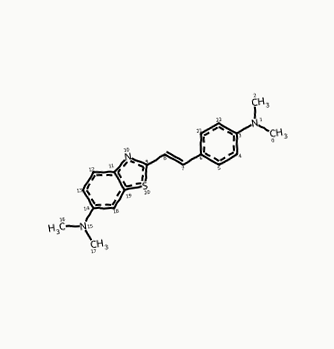 CN(C)c1ccc(C=Cc2nc3ccc(N(C)C)cc3s2)cc1